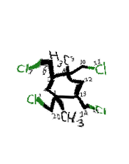 CC1(CCl)C=C(CCl)C(C)(CCl)C=C1CCl